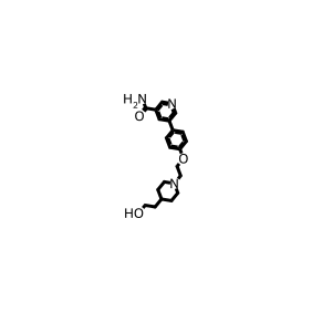 NC(=O)c1cncc(-c2ccc(OCCN3CCC(CCO)CC3)cc2)c1